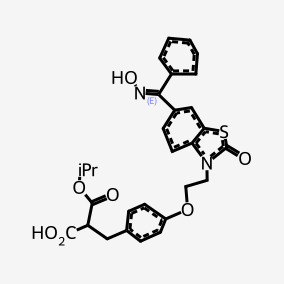 CC(C)OC(=O)C(Cc1ccc(OCCn2c(=O)sc3cc(/C(=N/O)c4ccccc4)ccc32)cc1)C(=O)O